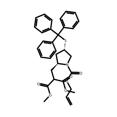 C=CCOC(=O)N1C[C@@H](SC(c2ccccc2)(c2ccccc2)c2ccccc2)C[C@@H]1CC(C(=O)OC)C(=O)OC